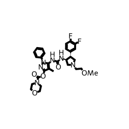 COCCN1C[C@@H](NC(=O)Nc2c(C)c(OC(=O)N3CCOCC3)nn2-c2ccccc2)[C@H](c2ccc(F)c(F)c2)C1